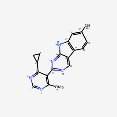 COc1ncnc(C2CC2)c1-c1ncc2c(n1)[nH]c1cc(C#N)ccc12